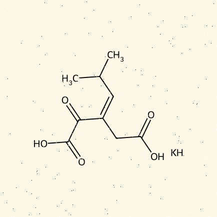 CC(C)C=C(CC(=O)O)C(=O)C(=O)O.[KH]